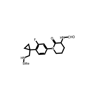 CSNCC1(c2ccc(N3CCCC(NC=O)C3=O)cc2F)CC1